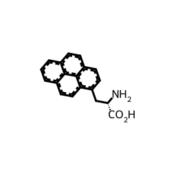 N[C@@H](Cc1ccc2ccc3cccc4ccc1c2c34)C(=O)O